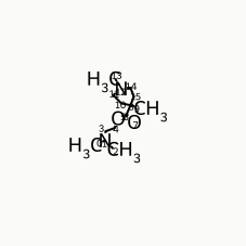 CN(C)CCOC(=O)C1(C)CCN(C)CC1